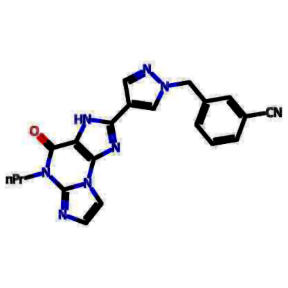 CCCn1c(=O)c2[nH]c(-c3cnn(Cc4cccc(C#N)c4)c3)nc2n2ccnc12